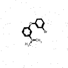 CN(C)c1cccc(OC2=CC(Br)=CCC2)c1